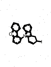 IC1C=Cc2c(c3ccccc3n2-c2cccc3oc4ccccc4c23)C1